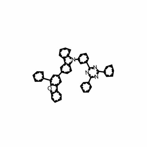 c1ccc(-c2nc(-c3ccccc3)nc(-c3cccc(-n4c5ccccc5c5cc(-c6cc(-c7ccccc7)c7oc8ccccc8c7c6)ccc54)c3)n2)cc1